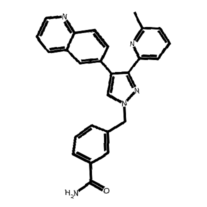 Cc1cccc(-c2nn(Cc3cccc(C(N)=O)c3)cc2-c2ccc3ncccc3c2)n1